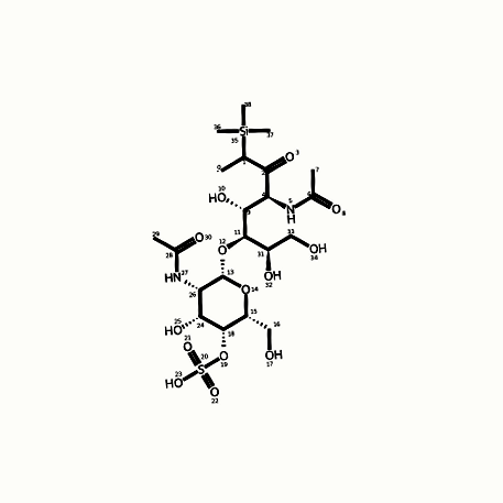 [CH2]C(C(=O)[C@@H](NC(C)=O)[C@@H](O)[C@H](O[C@@H]1O[C@H](CO)[C@H](OS(=O)(=O)O)[C@H](O)[C@@H]1NC(C)=O)[C@H](O)CO)[Si](C)(C)C